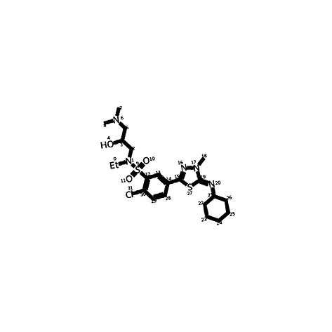 CCN(CC(O)CN(C)C)S(=O)(=O)c1cc(-c2nn(C)c(=NC3CCCCC3)s2)ccc1Cl